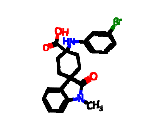 CN1C(=O)C2(CCC(Nc3cccc(Br)c3)(C(=O)O)CC2)c2ccccc21